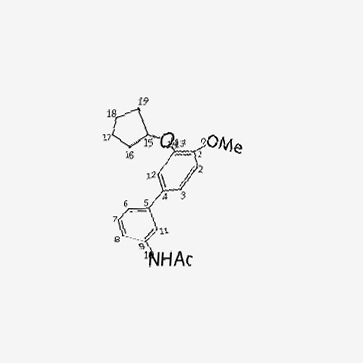 COc1ccc(-c2cccc(NC(C)=O)c2)cc1OC1CCCC1